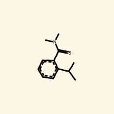 CC(C)c1ccccc1C(=S)N(C)C